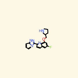 Fc1cc(OCC2CCCNC2)c2nc(-c3nnc4ccccn34)ccc2c1